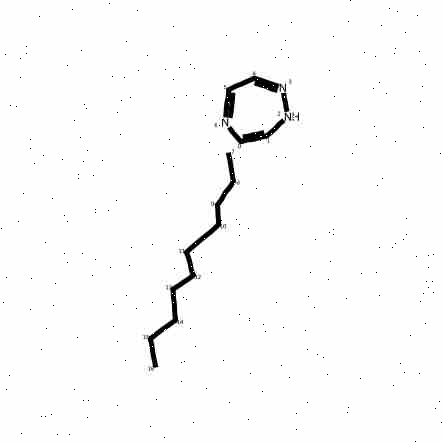 C1=CNN=CC=N1.CCCCCCCCCC